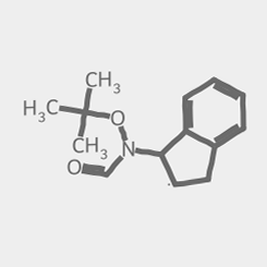 CC(C)(C)ON(C=O)C1[CH]Cc2ccccc21